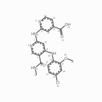 CNC(=O)c1cnc(Nc2cc(C(=O)O)ccn2)cc1Nc1ccc(Cl)cc1OC